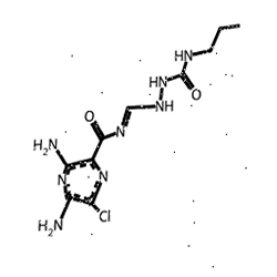 CCCNC(=O)NNC=NC(=O)c1nc(Cl)c(N)nc1N